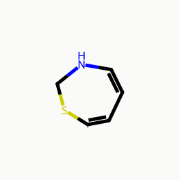 [C]1=CC=CNCS1